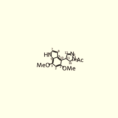 COc1cc(OC)c2[nH]ccc2c1C1C=NN(C(C)=O)C1